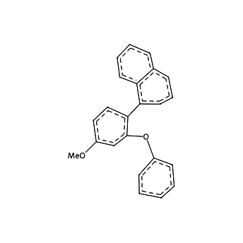 COc1ccc(-c2cccc3ccccc23)c(Oc2ccccc2)c1